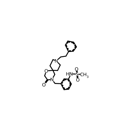 CS(=O)(=O)Nc1cccc(CN2CC3(CCN(CCc4ccccc4)CC3)OCC2=O)c1